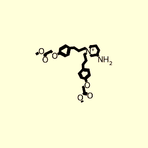 COC(=O)COc1ccc(CCC[N+]2(CCCc3ccc(OCC(=O)OC)cc3)CCCC(N)C2)cc1